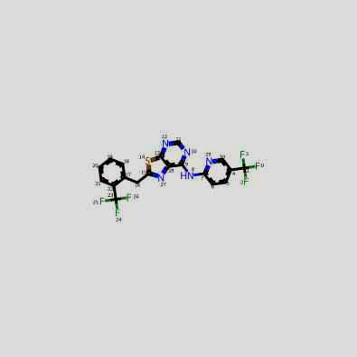 FC(F)(F)c1ccc(Nc2ncnc3sc(Cc4ccccc4C(F)(F)F)nc23)nc1